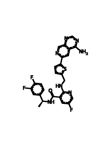 C[C@H](NC(=O)c1cc(F)cnc1NCc1ccc(-c2cc3c(N)ncnc3cn2)s1)c1ccc(F)c(F)c1